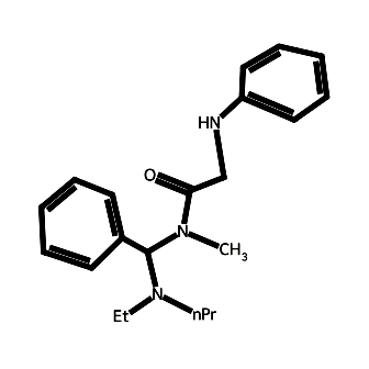 CCCN(CC)C(c1ccccc1)N(C)C(=O)CNc1ccccc1